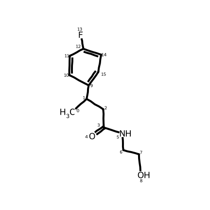 CC(CC(=O)NCCO)c1ccc(F)cc1